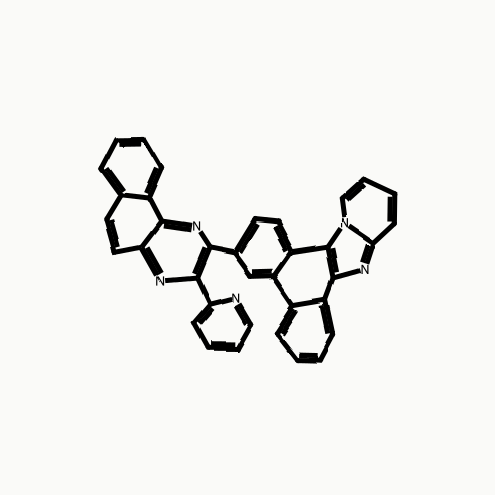 c1ccc(-c2nc3ccc4ccccc4c3nc2-c2ccc3c(c2)c2ccccc2c2nc4ccccn4c32)nc1